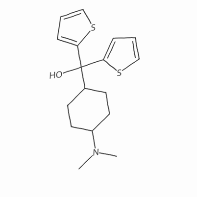 CN(C)C1CCC(C(O)(c2cccs2)c2cccs2)CC1